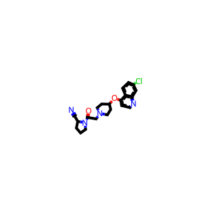 N#CC1CCCN1C(=O)CN1CCC(Oc2ccnc3cc(Cl)ccc23)CC1